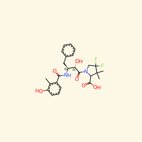 Cc1c(O)cccc1C(=O)N[C@@H](Cc1ccccc1)[C@H](O)C(=O)N1CC(F)(F)C(C)(C)C1C(=O)O